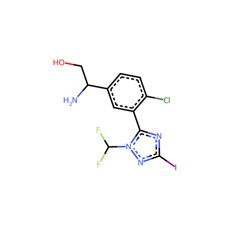 NC(CO)c1ccc(Cl)c(-c2nc(I)nn2C(F)F)c1